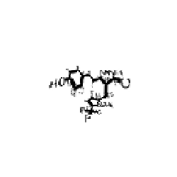 O=C1NN=C(CCc2ccc(O)cc2)C1=Cc1ccc(C(F)(F)F)[nH]1